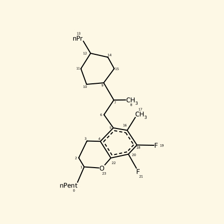 CCCCCC1CCc2c(CC(C)C3CCC(CCC)CC3)c(C)c(F)c(F)c2O1